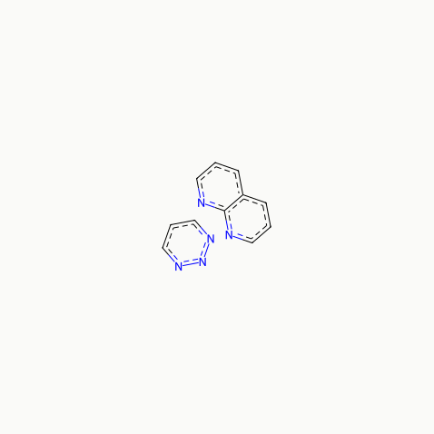 c1cnc2ncccc2c1.c1cnnnc1